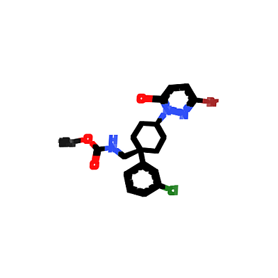 CC(C)(C)OC(=O)NC[C@]1(c2cccc(Cl)c2)CC[C@H](n2nc(Br)ccc2=O)CC1